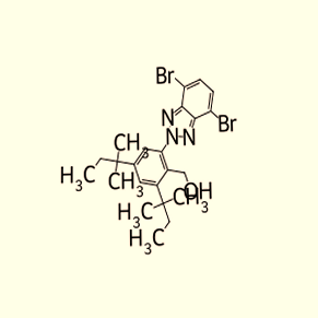 CCC(C)(C)c1cc(-n2nc3c(Br)ccc(Br)c3n2)c(CO)c(C(C)(C)CC)c1